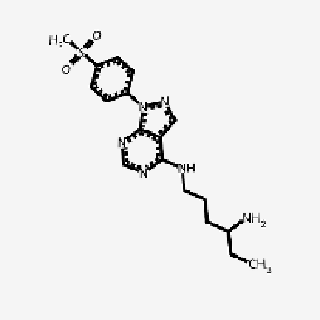 CCC(N)CCCNc1ncnc2c1cnn2-c1ccc(S(C)(=O)=O)cc1